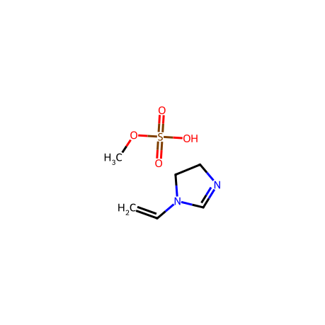 C=CN1C=NCC1.COS(=O)(=O)O